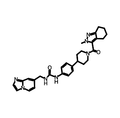 Cn1nc2c(c1C(=O)N1CCC(c3ccc(NC(=O)NCc4ccn5ccnc5c4)cc3)CC1)CCCC2